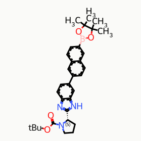 CC(C)(C)OC(=O)N1CCC[C@H]1c1nc2ccc(-c3ccc4cc(B5OC(C)(C)C(C)(C)O5)ccc4c3)cc2[nH]1